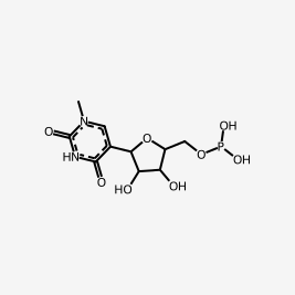 Cn1cc(C2OC(COP(O)O)C(O)C2O)c(=O)[nH]c1=O